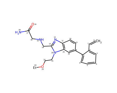 C=Cc1ccccc1-c1ccc2nc(CNCC(N)=O)n(CCOCC)c2c1